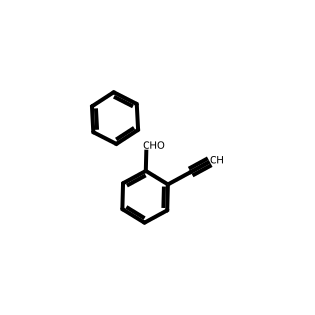 C#Cc1ccccc1C=O.c1ccccc1